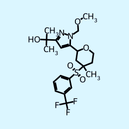 COCn1nc(C(C)(C)O)cc1C1CC(C)(S(=O)(=O)c2cccc(C(F)(F)F)c2)CCO1